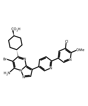 COc1ncc(-c2ccc(-c3cnn4c(N)c(Br)c([C@H]5CC[C@H](C(=O)O)CC5)nc34)cn2)cc1Cl